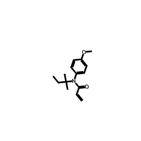 C=CC(=O)N(c1ccc(OC)cc1)C(C)(C)CC